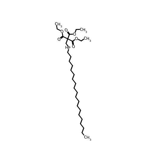 CCCCCCCCCCCCCCCCCCCCPCC(C(=O)OCC)(C(=O)OCC)C(=O)OCC